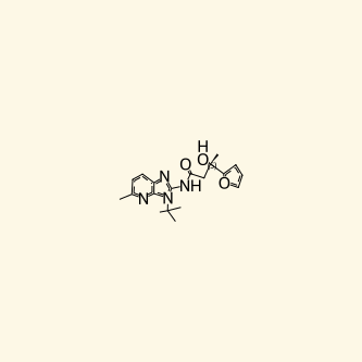 Cc1ccc2nc(NC(=O)C[C@](C)(O)c3ccco3)n(C(C)(C)C)c2n1